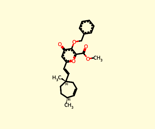 COC(=O)c1oc(C=C[C@]2(C)CC=C[C@H](C)CC2)cc(=O)c1OCc1ccccc1